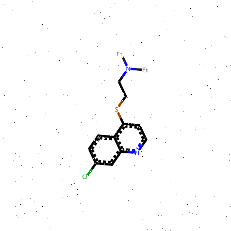 CCN(CC)CCSc1ccnc2cc(Cl)ccc12